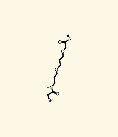 C=NC(=O)COCCCOCCCNC(=O)CC(C)C